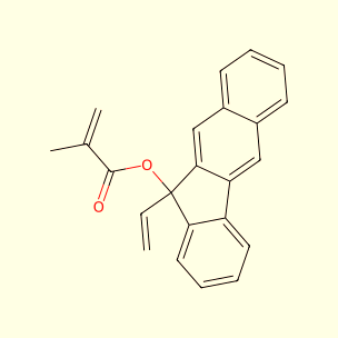 C=CC1(OC(=O)C(=C)C)c2ccccc2-c2cc3ccccc3cc21